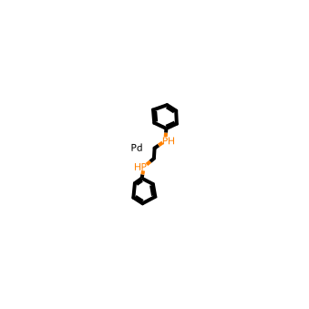 [Pd].c1ccc(PCCPc2ccccc2)cc1